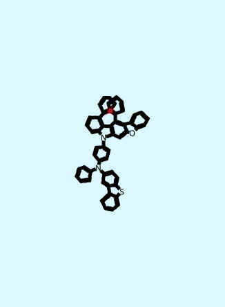 c1ccc(-c2cccc3c2c2c(-c4ccccc4)c4c(cc2n3-c2ccc(N(c3ccccc3)c3ccc5sc6ccccc6c5c3)cc2)oc2ccccc24)cc1